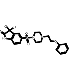 O=C1Nc2ccc(S(=O)(=O)N3CCN(CCOc4ccccc4)CC3)cc2C1(Cl)Cl